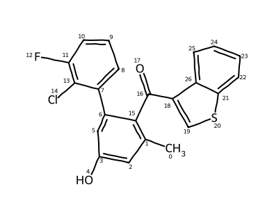 Cc1cc(O)cc(-c2cccc(F)c2Cl)c1C(=O)c1csc2ccccc12